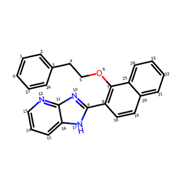 c1ccc(CCOc2c(-c3nc4ncccc4[nH]3)ccc3ccccc23)cc1